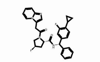 O=C(N[C@@H](c1ccccc1)c1ccc(C2CC2)c(F)c1)[C@@H]1C[C@@H](F)CN1C(=O)Cc1cnc2ccccn12